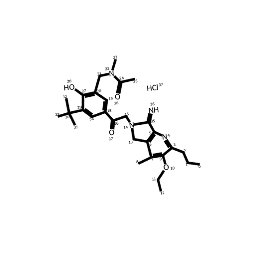 CCCc1nc2c(c(C)c1OCC)CN(CC(=O)c1cc(CN(C)C(C)=O)c(O)c(C(C)(C)C)c1)C2=N.Cl